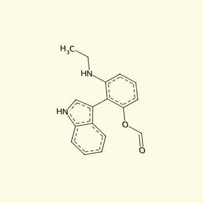 CCNc1cccc(OC=O)c1-c1c[nH]c2ccccc12